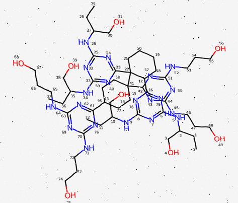 CCC(CO)Nc1nc(NC(CC)CO)nc(C2CCCCC2(c2nc(NC(CC)CO)nc(NC(CC)CO)n2)C2(c3nc(NCCCO)nc(NCCCO)n3)CCC(c3nc(NCCCO)nc(NCCCO)n3)CC2)n1